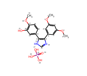 COc1cc(OC)cc(-c2nc[nH]c2-c2ccc(OC)c(O)c2)c1.O=P(O)(O)O